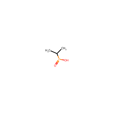 CC(C)[P](=O)O